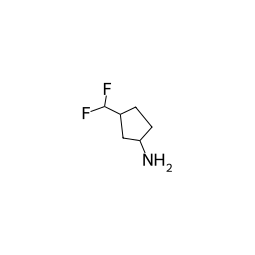 NC1CCC(C(F)F)C1